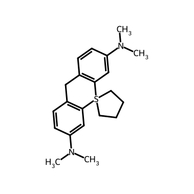 CN(C)c1ccc2c(c1)S1(CCCC1)c1cc(N(C)C)ccc1C2